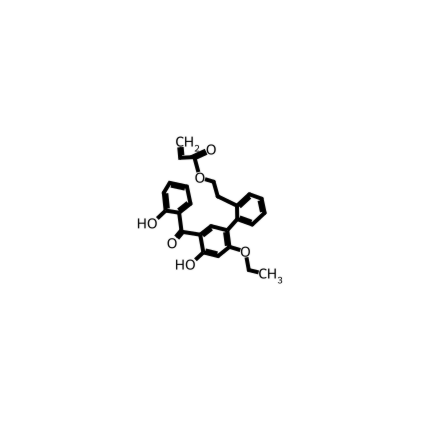 C=CC(=O)OCCc1ccccc1-c1cc(C(=O)c2ccccc2O)c(O)cc1OCC